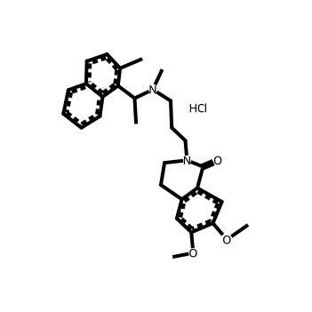 COc1cc2c(cc1OC)C(=O)N(CCCN(C)C(C)c1c(C)ccc3ccccc13)CC2.Cl